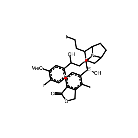 COc1cc(C(O)CN2CC3CCC(C2CCI)N3C[C@H](O)c2ccc3c(c2C)COC3=O)ncc1I